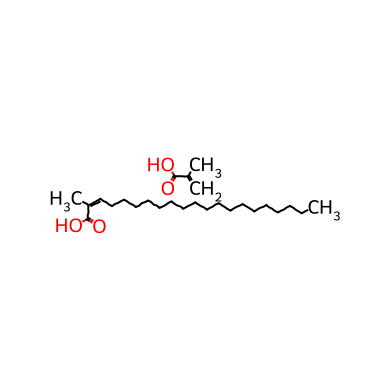 C=C(C)C(=O)O.CCCCCCCCCCCCCCCCCCC=C(C)C(=O)O